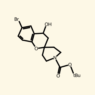 CC(C)(C)OC(=O)N1CCC2(CC1)CC(O)c1cc(Br)ccc1O2